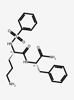 NCCC[C@H](NS(=O)(=O)c1ccccc1)C(=O)N[C@@H](Cc1ccccc1)C(N)=O